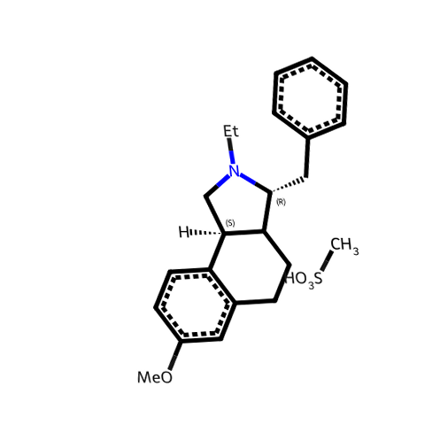 CCN1C[C@@H]2c3ccc(OC)cc3CCC2[C@H]1Cc1ccccc1.CS(=O)(=O)O